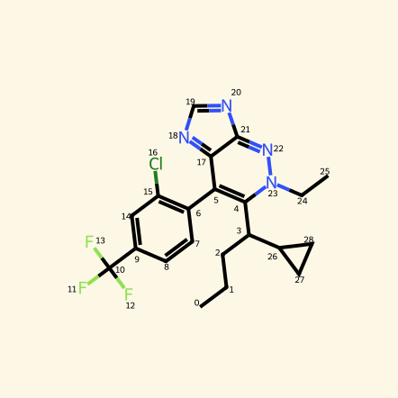 CCCC(c1c(-c2ccc(C(F)(F)F)cc2Cl)c2ncnc-2nn1CC)C1CC1